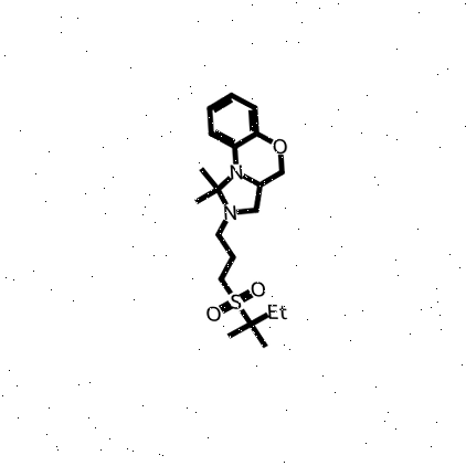 CCC(C)(C)S(=O)(=O)CCCN1CC2COc3ccccc3N2C1(C)C